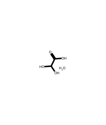 O.O=C(O)C(O)O